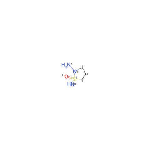 N=S1(=O)CCCN1N